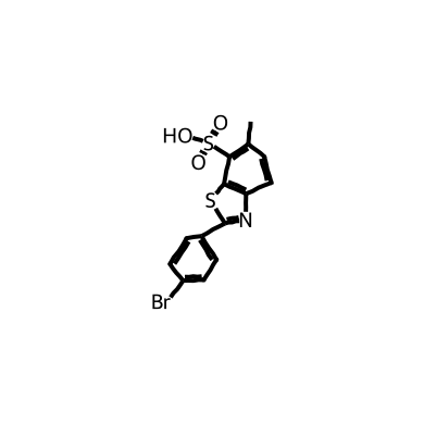 Cc1ccc2nc(-c3ccc(Br)cc3)sc2c1S(=O)(=O)O